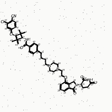 CC1(C)[C@H](NC(=O)c2ccc(CCCCN3CCN(CCOc4cccc5c4CN([C@H]4CCC(=O)NC4=O)C5=O)CC3)cc2)C(C)(C)[C@H]1Oc1ccc(C#N)c(Cl)c1